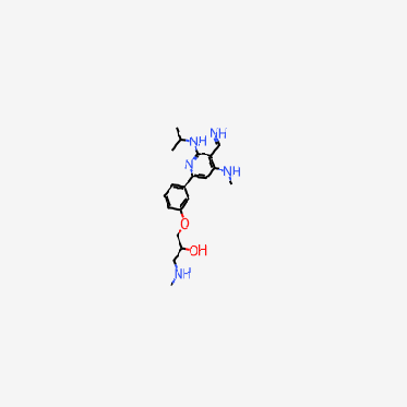 CNCC(O)COc1cccc(-c2cc(NC)c(C=N)c(NC(C)C)n2)c1